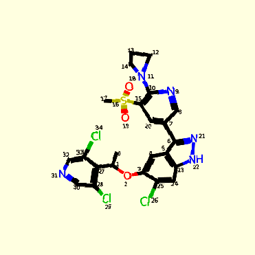 CC(Oc1cc2c(-c3cnc(N4CCC4)c(S(C)(=O)=O)c3)n[nH]c2cc1Cl)c1c(Cl)cncc1Cl